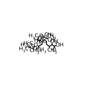 CC(CN(CCCC(C)C(O)C(=O)O)C[C@@H](C)O[Si](C)(C)C(C)(C)C)O[Si](C)(C)C(C)(C)C